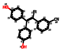 CCC(=C(c1ccc(O)cc1)c1ccc(O)cc1)c1cccc(C#N)c1